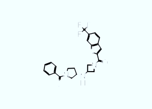 O=C(c1ccccc1)N1CC[C@H](NC2CN(C(=O)c3cc4ccc(C(F)(F)F)cc4s3)C2)C1